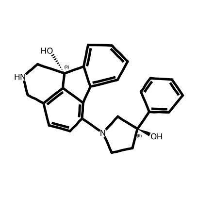 O[C@@]1(c2ccccc2)CCN(c2ccc3c4c2-c2ccccc2[C@]4(O)CNC3)C1